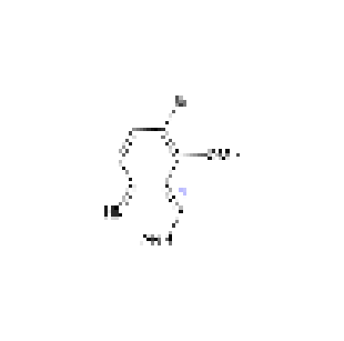 CN/C=C1\C(=N)C=CC(Br)=C1OC